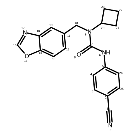 N#Cc1ccc(NC(=O)N(Cc2ccc3ocnc3c2)C2CCC2)cc1